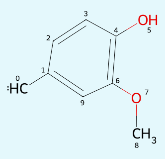 [CH]c1ccc(O)c(OC)c1